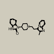 Cc1nc2ccccn2c1CCN1CCC(n2c(=O)[nH]c3ccccc32)CC1